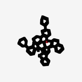 CC12Oc3ccccc3C1=CC1(C)C3=C2C2(C)C(=CC3(C)N(c3ccc(-c4ccccc4)cc3C3CCCCC3)c3ccc4ccccc4c31)Oc1c(C3CCCCC3)cccc12